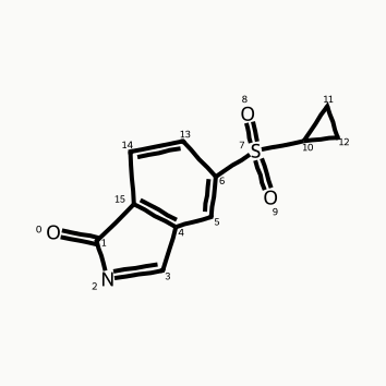 O=C1N=Cc2cc(S(=O)(=O)C3CC3)ccc21